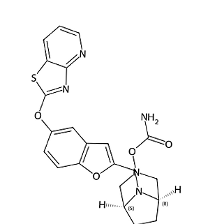 NC(=O)ON1C[C@H]2CC[C@@H](C1)N2Cc1cc2cc(Oc3nc4ncccc4s3)ccc2o1